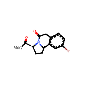 COC(=O)[C@@H]1CCC2c3cc(Br)ccc3CC(=O)N21